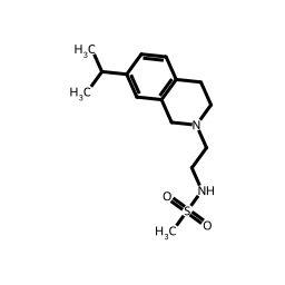 CC(C)c1ccc2c(c1)CN(CCNS(C)(=O)=O)CC2